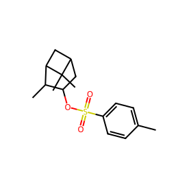 Cc1ccc(S(=O)(=O)OC2CC3CC(C2C)C3(C)C)cc1